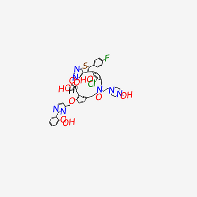 O=C(O)[C@H]1Cc2cc(ccc2OCc2ccnc(-c3ccccc3OO)n2)CC(=O)N(CCN2CCN(O)CC2)Cc2ccc(c(O)c2Cl)-c2c(-c3ccc(F)cc3)sc3ncnc(c23)O1